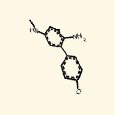 CNc1ccc(N)c(-c2ccc(Cl)cc2)c1